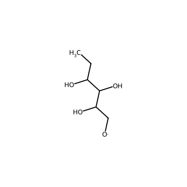 CCC(O)C(O)C(O)C[O]